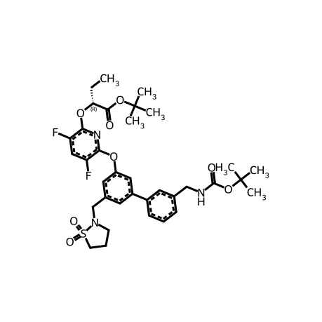 CC[C@@H](Oc1nc(Oc2cc(CN3CCCS3(=O)=O)cc(-c3cccc(CNC(=O)OC(C)(C)C)c3)c2)c(F)cc1F)C(=O)OC(C)(C)C